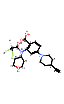 C#CC1CCN(c2ccc(C(=O)O)c(N(C(=O)C(F)(F)F)C3CCOCC3)c2)CC1